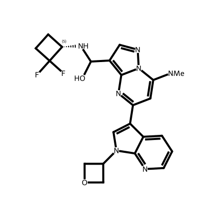 CNc1cc(-c2cn(C3COC3)c3ncccc23)nc2c(C(O)N[C@H]3CCC3(F)F)cnn12